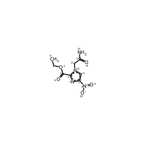 CCOC(=O)c1nc([N+](=O)[O-])cn1CC(N)=O